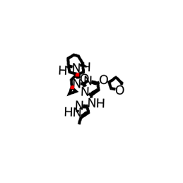 Cc1cc(Nc2cc(O[C@H]3CCOC3)nc(N(C)[C@@H]3C[C@H]4CCC[C@@H](C3)N4C(=O)CC3CC3)n2)n[nH]1